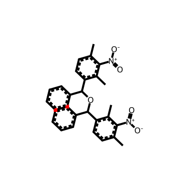 Cc1ccc(C(OC(c2ccccc2)c2ccc(C)c([N+](=O)[O-])c2C)c2ccccc2)c(C)c1[N+](=O)[O-]